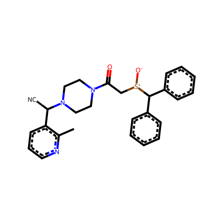 Cc1ncccc1C(C#N)N1CCN(C(=O)C[S+]([O-])C(c2ccccc2)c2ccccc2)CC1